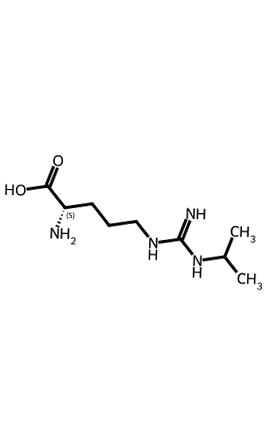 CC(C)NC(=N)NCCC[C@H](N)C(=O)O